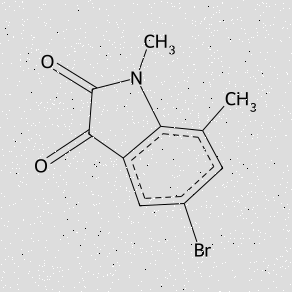 Cc1cc(Br)cc2c1N(C)C(=O)C2=O